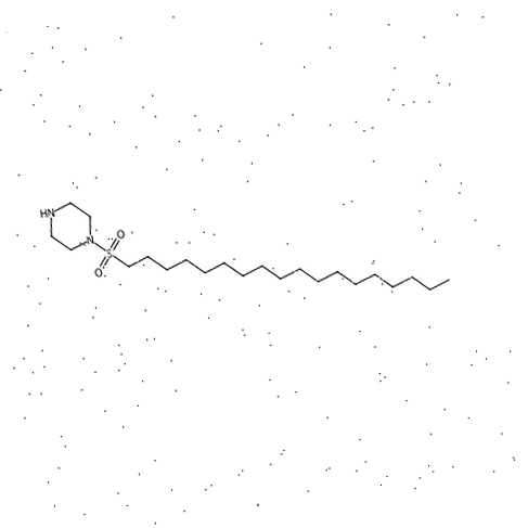 CCCCCCCCCCCCCCCCCCS(=O)(=O)N1CCNCC1